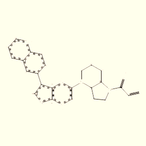 C=CC(=O)N1CCC2C1CCCN2c1cnc2[nH]cc(-c3ccc4ncccc4c3)c2n1